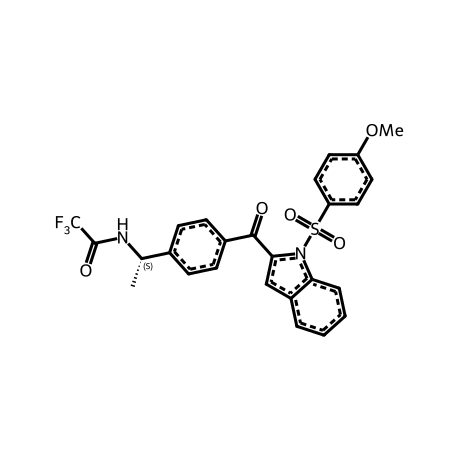 COc1ccc(S(=O)(=O)n2c(C(=O)c3ccc([C@H](C)NC(=O)C(F)(F)F)cc3)cc3ccccc32)cc1